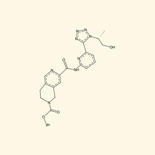 CC(C)OC(=O)N1CCc2cnc(C(=O)Nc3cccc(-c4nnnn4[C@H](C)CO)n3)cc2C1